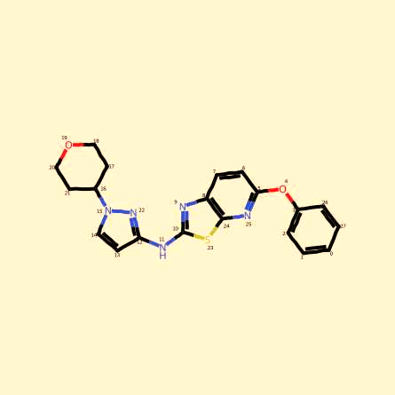 c1ccc(Oc2ccc3nc(Nc4ccn(C5CCOCC5)n4)sc3n2)cc1